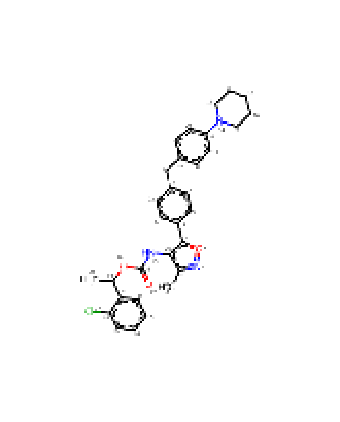 Cc1noc(-c2ccc(Cc3ccc(N4CCCCC4)cc3)cc2)c1NC(=O)OC(C)c1ccccc1Cl